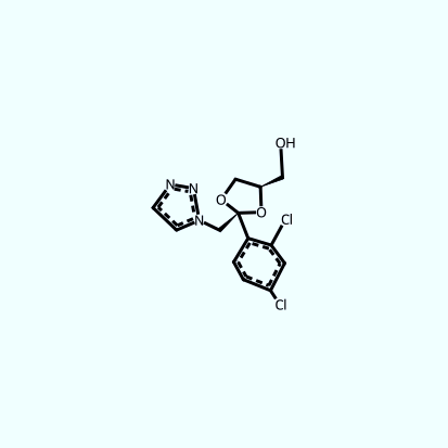 OC[C@@H]1CO[C@@](Cn2ccnn2)(c2ccc(Cl)cc2Cl)O1